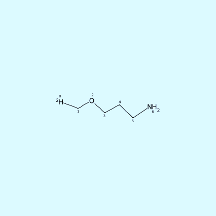 [2H]COCCCN